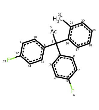 CC(=O)C(c1ccc(F)cc1)(c1ccc(F)cc1)c1ccccc1C